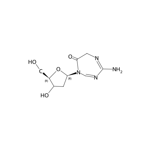 NC1=NCC(=O)N([C@H]2CC(O)[C@@H](CO)O2)C=N1